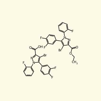 CCOC(=O)c1nn(-c2ccccc2F)c(-c2ccc(F)c(F)c2)c1Br.O=C(O)c1nn(-c2ccccc2F)c(-c2ccc(F)c(F)c2)c1Br